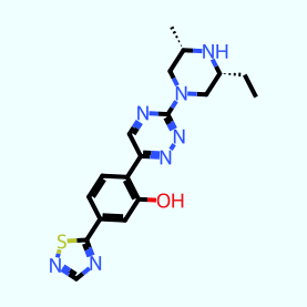 CC[C@@H]1CN(c2ncc(-c3ccc(-c4ncns4)cc3O)nn2)C[C@H](C)N1